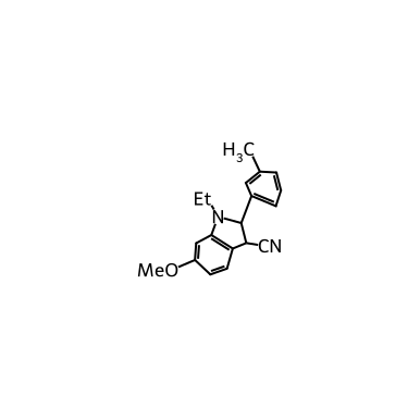 CCN1c2cc(OC)ccc2C(C#N)C1c1cccc(C)c1